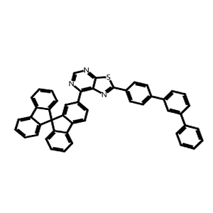 c1ccc(-c2cccc(-c3ccc(-c4nc5c(-c6ccc7c(c6)C6(c8ccccc8-c8ccccc86)c6ccccc6-7)ncnc5s4)cc3)c2)cc1